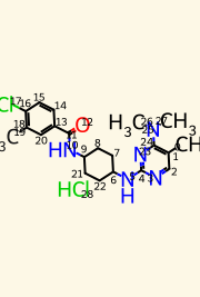 Cc1cnc(NC2CCC(NC(=O)c3ccc(Cl)c(C(F)(F)F)c3)CC2)nc1N(C)C.Cl